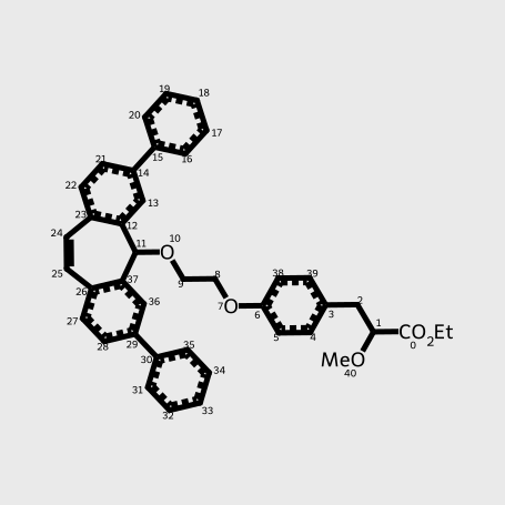 CCOC(=O)C(Cc1ccc(OCCOC2c3cc(-c4ccccc4)ccc3C=Cc3ccc(-c4ccccc4)cc32)cc1)OC